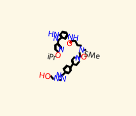 CSCN(CCCC(=O)Nc1ccc2[nH]nc(-c3ccc(OC(C)C)nc3)c2c1)CC(=O)N1CC=C(c2ccc(-c3ncn(CCO)n3)cc2)CC1